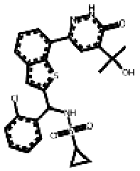 CC(C)(O)c1cc(-c2cccc3cc(C(NS(=O)(=O)C4CC4)c4ccccc4Cl)sc23)n[nH]c1=O